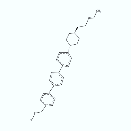 CC=CCC[C@H]1CC[C@H](c2ccc(-c3ccc(-c4ccc(COCC)cc4)cc3)cc2)CC1